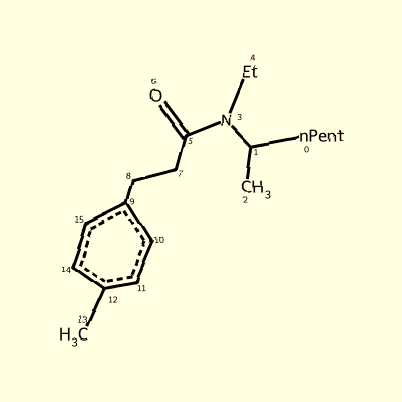 CCCCCC(C)N(CC)C(=O)CCc1ccc(C)cc1